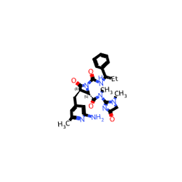 CCC(NC(=O)N1C(=O)[C@H](Cc2cc(C)nc(N)c2)[C@H]1C(=O)N(C)C1=NC(=O)CN1C)c1ccccc1